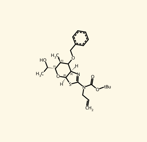 C=CCN(C(=O)OC(C)(C)C)C1=N[C@@H]2C(OCc3ccccc3)[C@H](C)[C@@H](C(C)O)O[C@@H]2S1